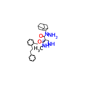 CN/C(OCc1ccccc1CCc1ccccc1)=C(\C=N)C(=O)N(N)C1C2CC3CC(C2)CC1C3